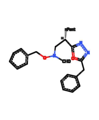 CCCCC[C@@H](CN(C=O)OCc1ccccc1)c1nnc(Cc2ccccc2)o1